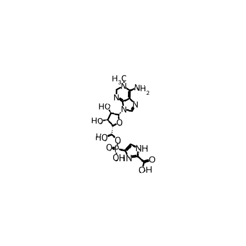 CN1CN=c2c(ncn2[C@@H]2O[C@H](C(O)OP(=O)(O)c3c[nH]c(C(=O)O)n3)[C@@H](O)[C@H]2O)=C1N